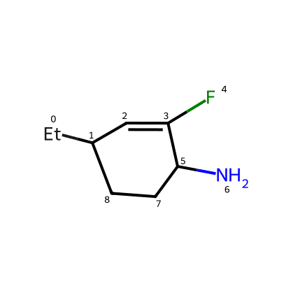 CCC1C=C(F)C(N)CC1